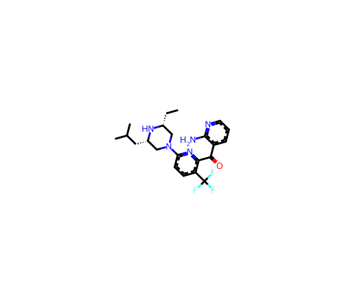 CC[C@@H]1CN(c2ccc(C(F)(F)F)c(C(=O)c3cccnc3N)n2)C[C@H](CC(C)C)N1